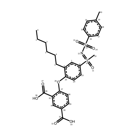 CCCCCCc1cc(S(C)(=O)=NS(=O)(=O)c2ccc(C)cc2)ccc1Oc1ccc(C(=O)O)cc1C(=O)O